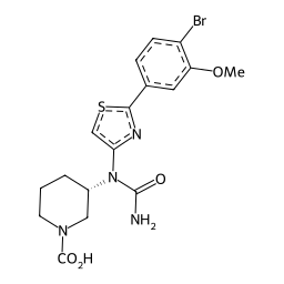 COc1cc(-c2nc(N(C(N)=O)[C@H]3CCCN(C(=O)O)C3)cs2)ccc1Br